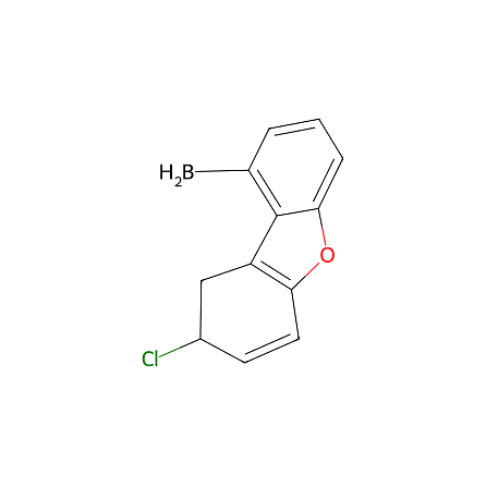 Bc1cccc2oc3c(c12)CC(Cl)C=C3